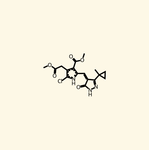 COC(=O)Cc1c(Cl)[nH]c(C=C2C(=O)NN=C2C2(C)CC2)c1C(=O)OC